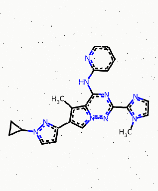 Cc1c(-c2ccn(C3CC3)n2)cn2nc(-c3nccn3C)nc(Nc3ccccn3)c12